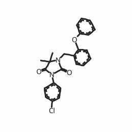 CC1(C)C(=O)N(c2ccc(Cl)cc2)C(=O)N1Cc1ccccc1Oc1ccccc1